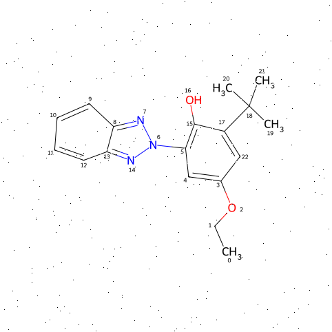 CCOc1cc(-n2nc3ccccc3n2)c(O)c(C(C)(C)C)c1